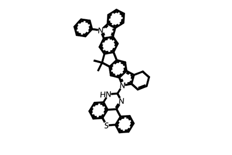 CC1(C)c2cc3c(cc2-c2cc4c5ccccc5n(-c5ccccc5)c4cc21)c1c(n3C2N=C3c4ccccc4Sc4cccc(c43)N2)C=CCC1